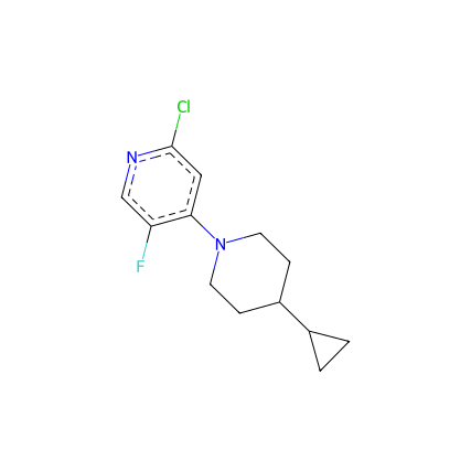 Fc1cnc(Cl)cc1N1CCC(C2CC2)CC1